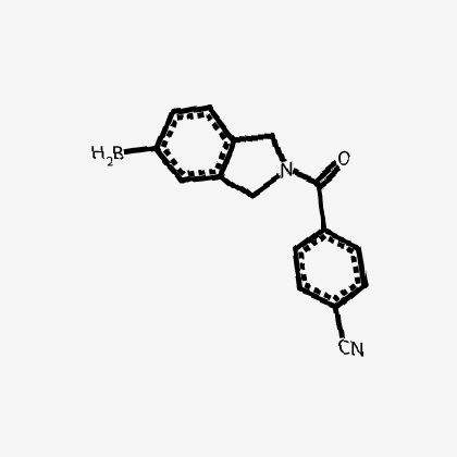 Bc1ccc2c(c1)CN(C(=O)c1ccc(C#N)cc1)C2